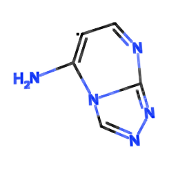 Nc1[c]cnc2nncn12